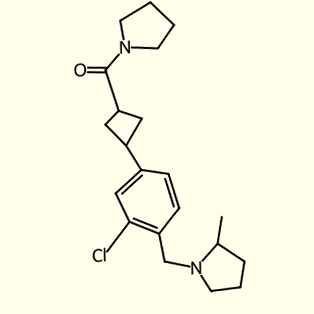 CC1CCCN1Cc1ccc(C2CC(C(=O)N3CCCC3)C2)cc1Cl